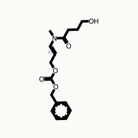 CN(/C=C/COC(=O)OCc1ccccc1)C(=O)CCCO